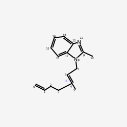 C=CCC/C(C)=C/Cn1c(C)nc2ccccc21